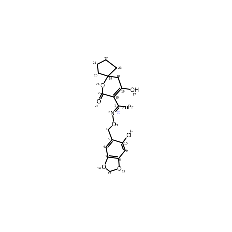 CCC/C(=N\OCc1cc2c(cc1Cl)OCO2)C1=C(O)CC2(CCCC2)OC1=O